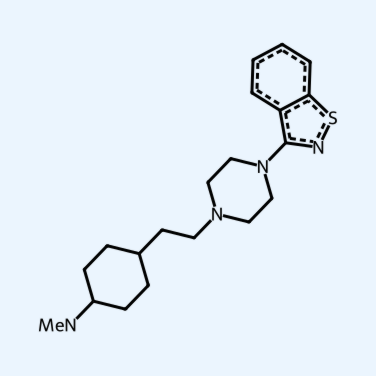 CNC1CCC(CCN2CCN(c3nsc4ccccc34)CC2)CC1